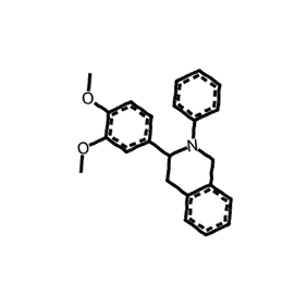 COc1ccc(C2Cc3ccccc3CN2c2ccccc2)cc1OC